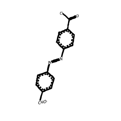 O=[C]c1ccc(/N=N/c2ccc(C(=O)Cl)cc2)cc1